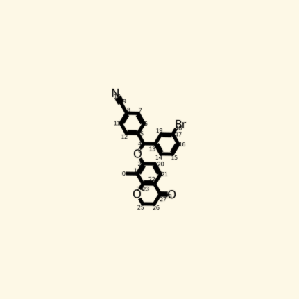 Cc1c(OC(c2ccc(C#N)cc2)c2cccc(Br)c2)ccc2c1OCCC2=O